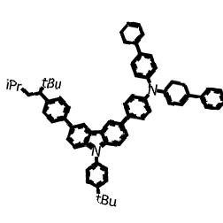 CC(C)CC(c1ccc(-c2ccc3c(c2)c2cc(-c4ccc(N(C5=CC=C(c6ccccc6)CC5)c5ccc(C6=CC=CCC6)cc5)cc4)ccc2n3-c2ccc(C(C)(C)C)cc2)cc1)C(C)(C)C